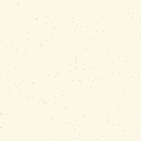 Cc1cnc(Nc2ccc(N3CCN(CC(=O)NCCOCC(=O)NC(C(=O)N4C[C@H](O)C[C@H]4C(=O)NCc4ccc(-c5scnc5C)cc4)C(C)(C)C)CC3)cc2)nc1Nc1cccc(S(=O)(=O)NC(C)(C)C)c1